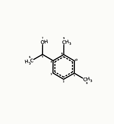 Cc1ccc(C(C)O)c(C)c1